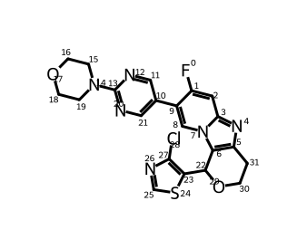 Fc1cc2nc3c(n2cc1-c1cnc(N2CCOCC2)nc1)C(c1scnc1Cl)OCC3